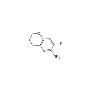 Nc1nc2c(cc1F)OCCC2